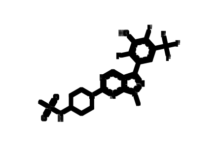 Cn1nc(-c2cc(C(F)(F)F)c(F)c(O)c2F)c2cnc(N3CCC(NS(C)(=O)=O)CC3)nc21